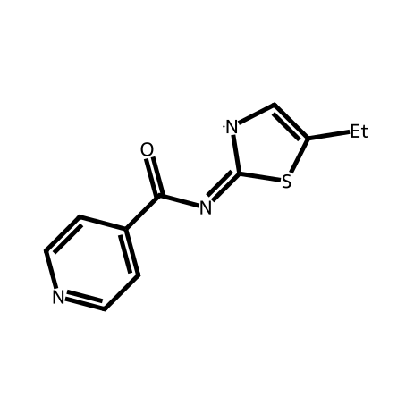 CCC1=C[N]C(=NC(=O)c2ccncc2)S1